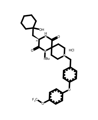 CCCCN1C(=O)[C@@H](CC2(O)CCCCC2)NC(=O)C12CCN(Cc1ccc(Oc3ccc(OC(F)(F)F)cc3)cc1)CC2.Cl